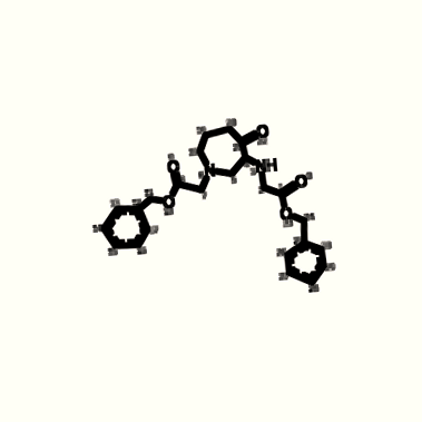 O=C(CNC1CN(CC(=O)OCc2ccccc2)CCCC1=O)OCc1ccccc1